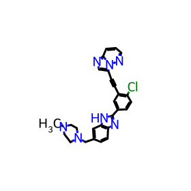 CN1CCN(Cc2ccc3nc(-c4ccc(Cl)c(C#Cc5cnc6cccnn56)c4)[nH]c3c2)CC1